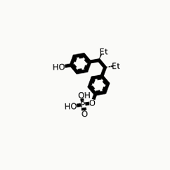 CC[C@H](c1ccc(OP(=O)(O)O)cc1)[C@@H](CC)c1ccc(O)cc1